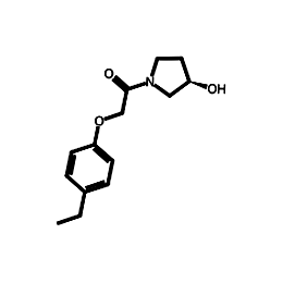 CCc1ccc(OCC(=O)N2CC[C@@H](O)C2)cc1